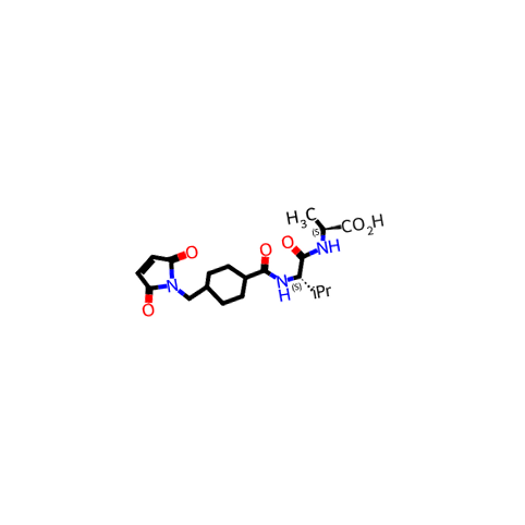 CC(C)[C@H](NC(=O)C1CCC(CN2C(=O)C=CC2=O)CC1)C(=O)N[C@@H](C)C(=O)O